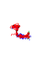 C[C@H](Oc1cc(-c2nn(C)c3c(-c4cnn(C5CCN(C(O)CCC6CCN(c7cccc8c7C(=O)N(C7CCC(=O)N(C)C7=O)C8=O)CC6)CC5)c4)cnc(N)c23)ccc1NS(=O)(=O)C(F)F)c1ccc(F)cc1